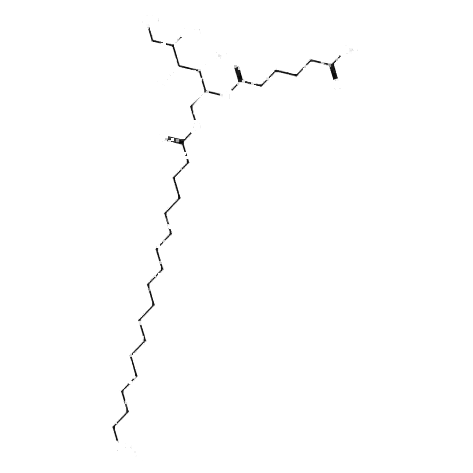 CCCCCCCCCCCCCCCCCC(=O)OC[C@H](OC(=O)CCCCC(=O)O)[C@@H](O)[C@H](O)[C@H](O)CO